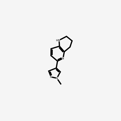 Cn1cc(-c2ccc3c(n2)CCCN3)cn1